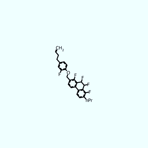 C=CCCc1ccc(OCc2ccc3c(c2F)C(F)C(F)c2c-3ccc(CCC)c2F)c(F)c1